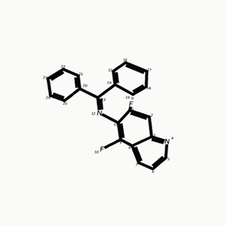 Fc1cc2ncccc2c(F)c1N=C(c1ccccc1)c1ccccc1